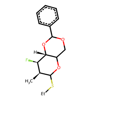 CCSC1OC2COC(c3ccccc3)O[C@H]2[C@H](F)[C@@H]1C